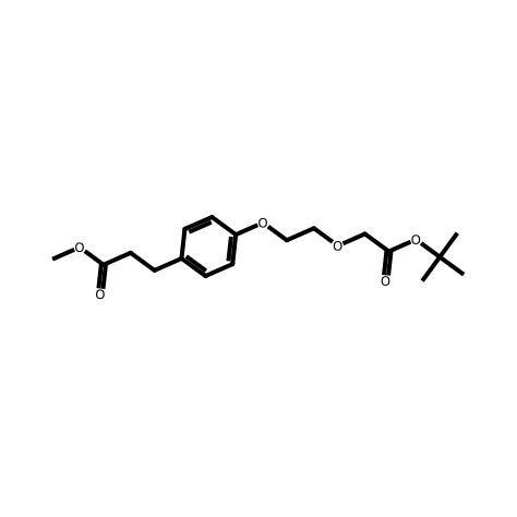 COC(=O)CCc1ccc(OCCOCC(=O)OC(C)(C)C)cc1